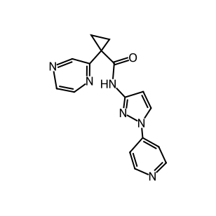 O=C(Nc1ccn(-c2ccncc2)n1)C1(c2cnccn2)CC1